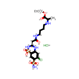 CCOC(=O)OC(=O)C(C)NCCCCNC(=O)C[C@H]1Nc2cc(Cl)c(S(N)(=O)=O)cc2S(=O)(=O)N1.Cl